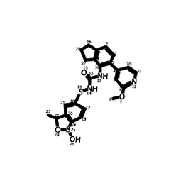 COc1cc(-c2ccc3c(c2NC(=O)NSc2ccc4c(c2)C(C)OB4O)CCC3)ccn1